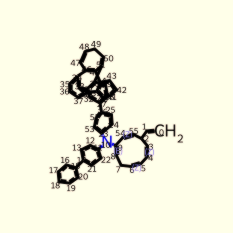 C=CC1/C=C\C=C/C/C=C(N(c2ccc(-c3ccccc3)cc2)c2ccc(-c3ccc4c(c3)-c3c5cccc3-c3ccccc3C3=C5C=CCC=C34)cc2)\C=C/1